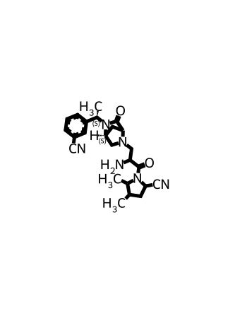 CC1CC(C#N)N(C(=O)C(N)CN2C[C@@H]3CC2C(=O)N3[C@@H](C)c2cccc(C#N)c2)C1C